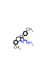 Cc1ccc([C@@H]2[C@@H]3CCc4ccc(C)cc4C3=NN2C(N)=S)cc1